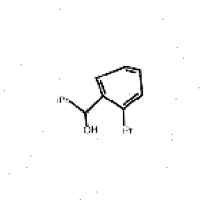 CC(C)[C](O)c1ccccc1C(C)C